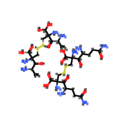 CC(N)C(=O)C(N)(CSSCC(N)(C(=O)O)C(=O)C(C)N)C(=O)O.NC(=O)CCC(N)C(=O)C(N)(CSSCC(N)(C(=O)O)C(=O)C(N)CCC(N)=O)C(=O)O